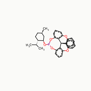 CC(C)[C@@H]1CC[C@@H](C)C[C@H]1OP1Oc2cccc3c2C2(c4ccccc4O3)c3ccccc3Oc3cccc(c32)O1